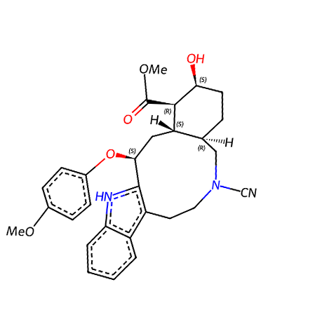 COC(=O)[C@@H]1[C@H]2C[C@H](Oc3ccc(OC)cc3)c3[nH]c4ccccc4c3CCN(C#N)C[C@@H]2CC[C@@H]1O